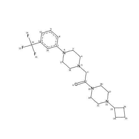 O=C(CN1CCN(c2cccc(C(F)(F)F)c2)CC1)N1CCN(C2CCC2)CC1